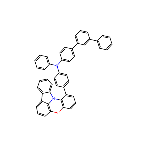 c1ccc(-c2cccc(-c3ccc(N(c4ccccc4)c4ccc(-c5cccc6c5-n5c7ccccc7c7cccc(c75)O6)cc4)cc3)c2)cc1